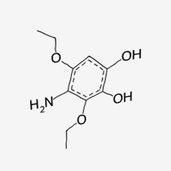 CCOc1cc(O)c(O)c(OCC)c1N